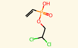 C=CP(=O)(O)OCC(Cl)Cl